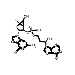 Nc1nc2c(ncn2[C@@H]2O[C@@H]3C(O)C3[C@H]2OP(=O)(S)OCC[C@@H](O)n2cnc3c(=O)[nH]cnc32)c(=O)[nH]1